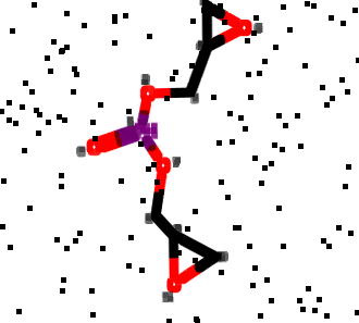 O=[PH](OCC1CO1)OCC1CO1